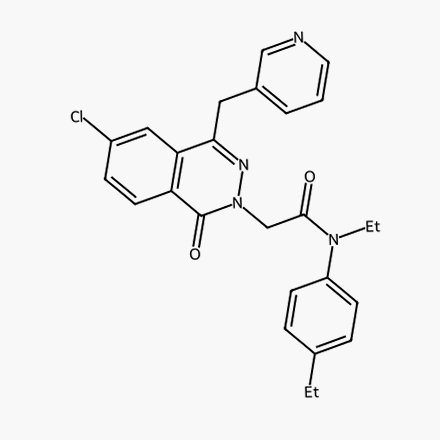 CCc1ccc(N(CC)C(=O)Cn2nc(Cc3cccnc3)c3cc(Cl)ccc3c2=O)cc1